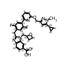 Cn1nc(COc2cccc(-c3cc(F)c(Cc4nc5ccc(C(=O)O)cc5n4CC4CCO4)cc3F)n2)cc1C1CC1